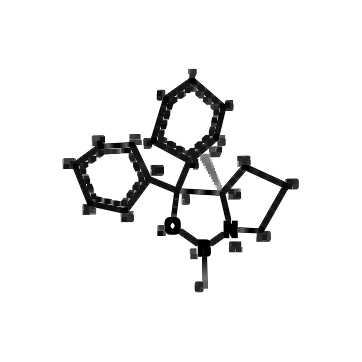 CB1OC(c2ccccc2)(c2ccccc2)[C@@]2(C)CCCN12